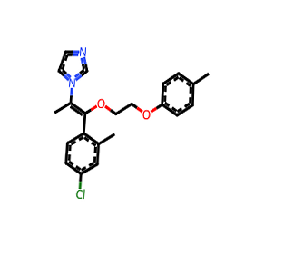 C/C(=C(/OCCOc1ccc(C)cc1)c1ccc(Cl)cc1C)n1ccnc1